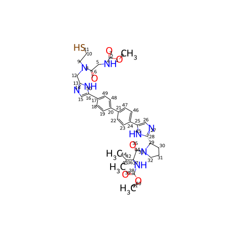 COC(=O)NCC(=O)N(CCS)Cc1ncc(-c2ccc(-c3ccc(-c4cnc([C@@H]5CCCN5C(=O)[C@@H](NC(=O)OC)C(C)C)[nH]4)cc3)cc2)[nH]1